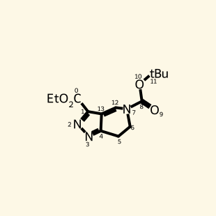 CCOC(=O)C1=NN=C2CCN(C(=O)OC(C)(C)C)C=C21